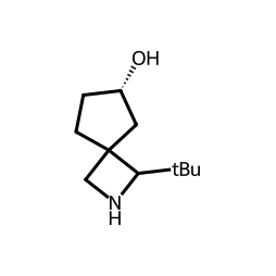 CC(C)(C)C1NCC12CC[C@H](O)C2